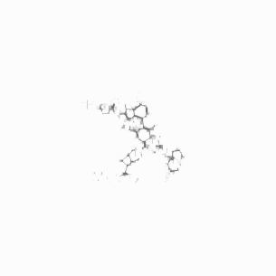 COC(=O)C1CC2CN(c3nc(OC[C@@]45CCCN4C[C@H](F)C5)nc4c(F)c(-c5ccc(F)c6sc(NC(=O)OC(C)(C)C)c(C#N)c56)c(Cl)cc34)CC21